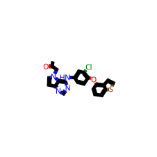 CC(=O)Cn1ccc2ncnc(Nc3ccc(Oc4cccc5sccc45)c(Cl)c3)c21